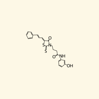 O=C(CCCN1C(=O)/C(=C/C=C/c2ccccc2)SC1=S)Nc1cccc(O)c1